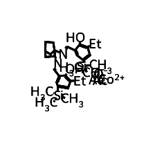 CC(=O)[O-].CC(=O)[O-].CCc1cc([Si](C)(C)C)cc(C=NC2CC3CCC2(N=Cc2cc([Si](C)(C)C)cc(CC)c2O)C3)c1O.[Co+2]